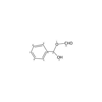 O=COC(O)c1ccccc1